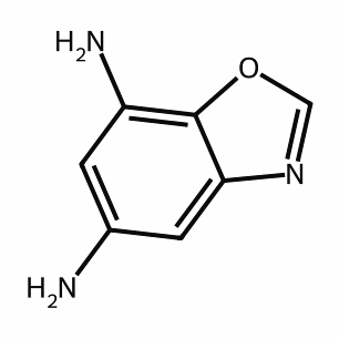 Nc1cc(N)c2ocnc2c1